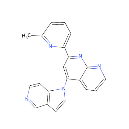 Cc1cccc(-c2cc(-n3ccc4cnccc43)c3cccnc3n2)n1